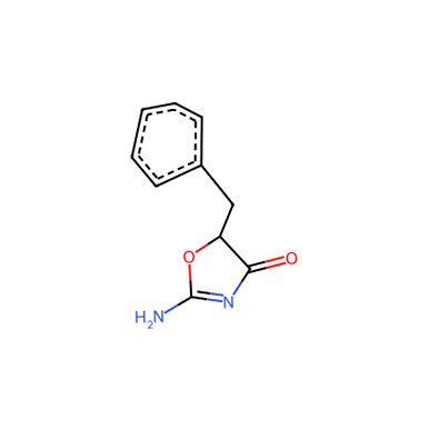 NC1=NC(=O)C(Cc2ccccc2)O1